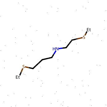 CCSCCCNCCSCC